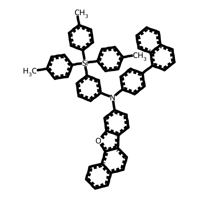 Cc1ccc([Si](c2ccc(C)cc2)(c2ccc(C)cc2)c2cccc(N(c3ccc(-c4cccc5ccccc45)cc3)c3ccc4c(c3)oc3c5ccccc5ccc43)c2)cc1